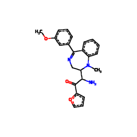 COc1cccc(C2=NCC(C(N)C(=O)c3ccco3)N(C)c3ccccc32)c1